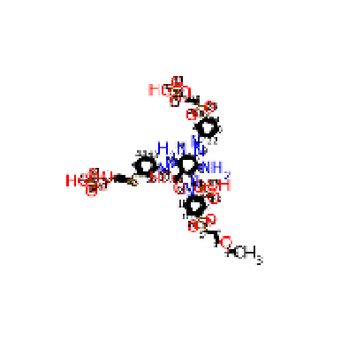 CCOCCCS(=O)(=O)c1ccc(N=Nc2c(N)c(N=Nc3cccc(S(=O)(=O)CCOS(=O)(=O)O)c3)c(N)c(N=Nc3cccc(SC#COOS(=O)(=O)O)c3)c2C(=O)O)c(S(=O)(=O)O)c1